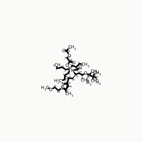 CCCCP(CCCC)(CCCC)(OC(=O)COC(C)=O)N1C(=O)[C@H]([C@@H](C)O[Si](C)(C)C(C)(C)C)[C@H]1CC(=O)c1cc(C)n(CCOC)n1